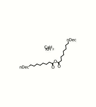 CCCCCCCCCCCCCCCCCC(=O)OC(=O)CCCCCCCCCCCCCCCCC.[CaH2].[KH]